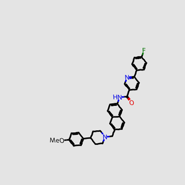 COc1ccc(C2CCN(Cc3ccc4cc(NC(=O)c5ccc(-c6ccc(F)cc6)nc5)ccc4c3)CC2)cc1